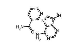 NC(=O)c1cccnc1.[2H]n1cnc2c(N)ncnc21